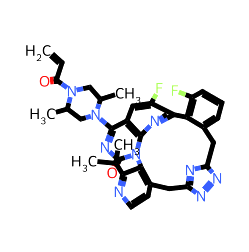 C=CC(=O)N1CC(C)N(c2nc(=O)n3c4nc(c(F)cc24)-c2c(F)cccc2CC2N=NC(=N2)Cc2ccnc(C(C)C)c2-3)CC1C